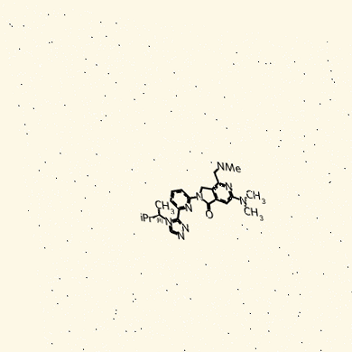 CNCc1nc(N(C)C)cc2c1CN(c1cccc(-c3nncn3[C@H](C)C(C)C)n1)C2=O